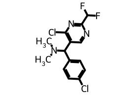 CN(C)C(c1ccc(Cl)cc1)c1cnc(C(F)F)nc1Cl